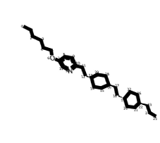 CCCCCCOc1ccc(CC[C@H]2CC[C@H](CC[C@H]3CC[C@H](CCC)CC3)CC2)nc1